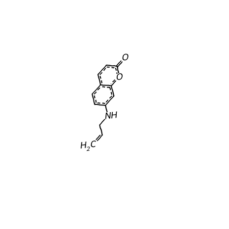 C=CCNc1ccc2ccc(=O)oc2c1